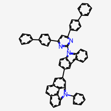 c1ccc(-c2ccc(-c3cc(-c4ccc(-c5ccccc5)cc4)nc(-n4c5ccccc5c5cc(-c6cc7ccc8cccc9c8c7c(c6)n9-c6ccccc6)ccc54)n3)cc2)cc1